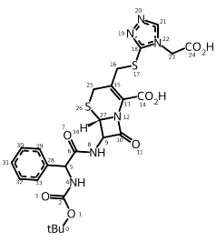 CC(C)(C)OC(=O)NC(C(=O)NC1C(=O)N2C(C(=O)O)=C(CSc3nncn3CC(=O)O)CS[C@@H]12)c1ccccc1